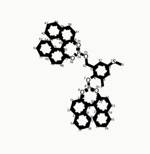 CSc1cc(C)c(Op2oc3ccc4ccccc4c3c3c(ccc4ccccc43)o2)c(COp2oc3ccc4ccccc4c3c3c(ccc4ccccc43)o2)c1